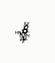 N=Nc1cc(CC(F)(F)F)ccc1NC(=O)C(F)(F)F